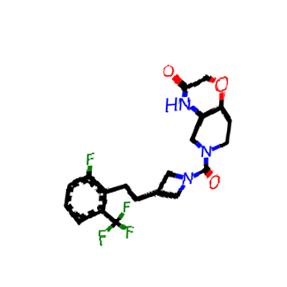 O=C1COC2CCN(C(=O)N3CC(CCc4c(F)cccc4C(F)(F)F)C3)CC2N1